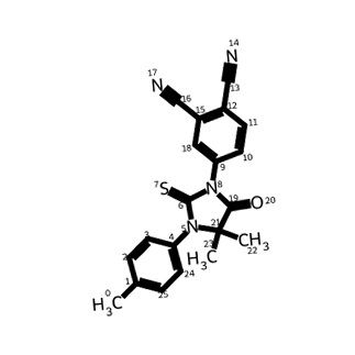 Cc1ccc(N2C(=S)N(c3ccc(C#N)c(C#N)c3)C(=O)C2(C)C)cc1